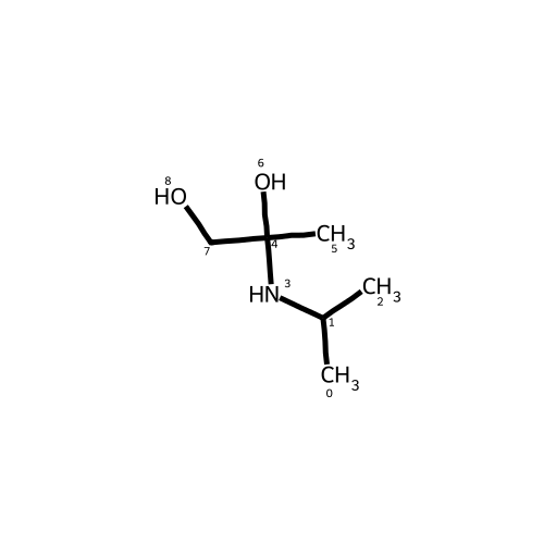 CC(C)NC(C)(O)CO